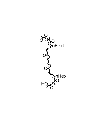 CCCCCCC(C/C=C\CC(=O)OCCCOC(=O)C/C=C\CC(CCCCC)OC(=O)C(C)OC(=O)C(C)O)OC(=O)C(C)OC(=O)C(C)O